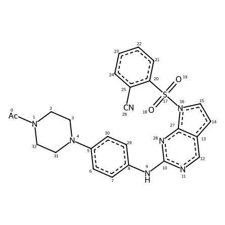 CC(=O)N1CCN(c2ccc(Nc3ncc4ccn(S(=O)(=O)c5ccccc5C#N)c4n3)cc2)CC1